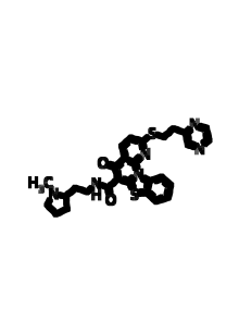 CN1CCCC1CCNC(=O)c1c(=O)c2ccc(SCCc3cnccn3)nc2n2c1sc1ccccc12